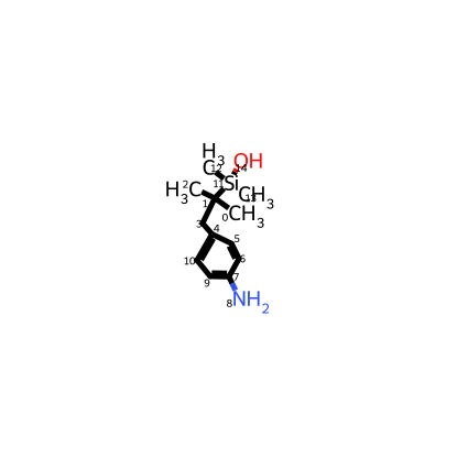 CC(C)(Cc1ccc(N)cc1)[Si](C)(C)O